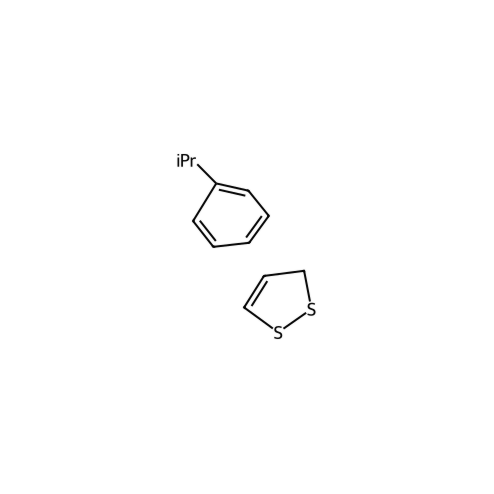 C1=CSSC1.CC(C)c1ccccc1